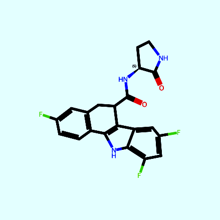 O=C(N[C@H]1CCNC1=O)C1Cc2cc(F)ccc2-c2[nH]c3c(F)cc(F)cc3c21